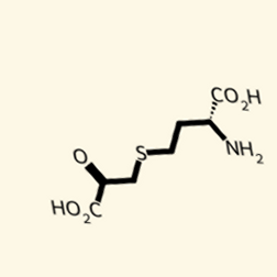 N[C@H](CCSCC(=O)C(=O)O)C(=O)O